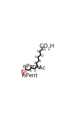 CCCCCOC(CCCCC)CCCC(CCCCCCC(=O)O)C(C)=O